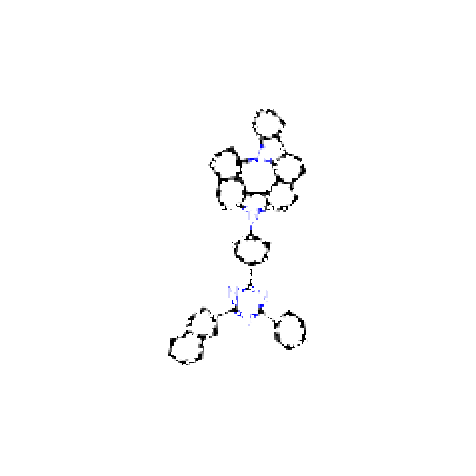 c1ccc(-c2nc(-c3ccc(-n4c5ccc6cccc7c6c5c5c6c(ccc8c9ccccc9n7c86)ccc54)cc3)nc(-c3ccc4ccccc4c3)n2)cc1